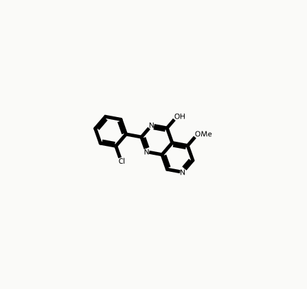 COc1cncc2nc(-c3ccccc3Cl)nc(O)c12